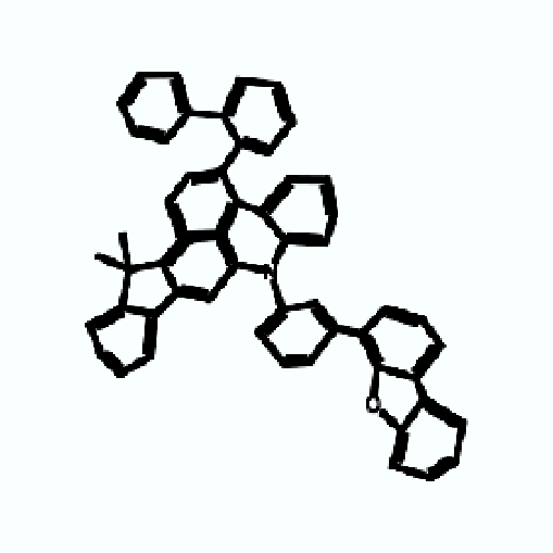 CC1(C)c2ccccc2-c2cc(N(c3cccc(-c4cccc5c4oc4ccccc45)c3)c3ccccc3-c3ccccc3-c3ccccc3-c3ccccc3)ccc21